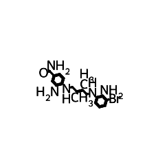 C/C(CNc1ccc(C(N)=O)cc1N)=C(/C)CNc1cccc(Br)c1N